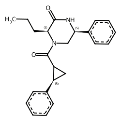 CCC[C@H]1C(=O)N[C@@H](c2ccccc2)CN1C(=O)C1C[C@H]1c1ccccc1